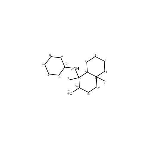 CC12CCCCC1C(C)(NC1CCCCC1)C(O)CC2